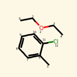 CCOCC.Cc1ccccc1Cl